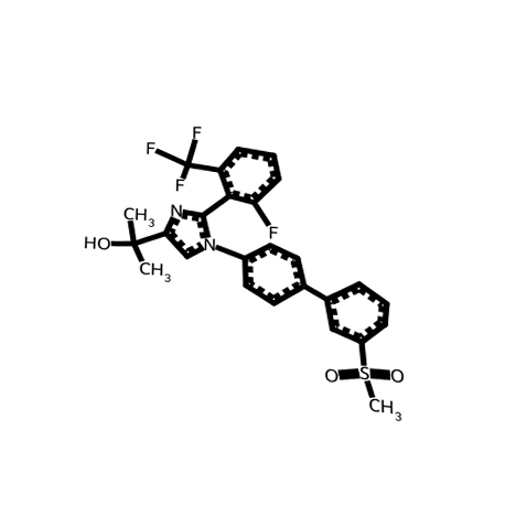 CC(C)(O)c1cn(-c2ccc(-c3cccc(S(C)(=O)=O)c3)cc2)c(-c2c(F)cccc2C(F)(F)F)n1